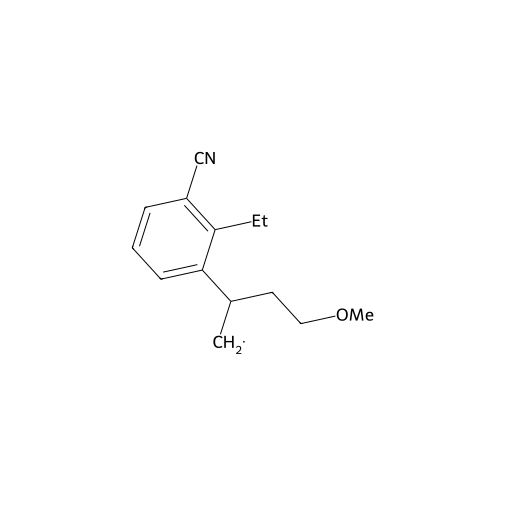 [CH2]C(CCOC)c1cccc(C#N)c1CC